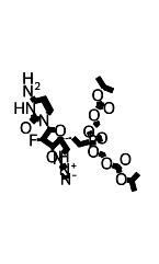 CC(C)OC(=O)OCOP(=O)(CC[C@@]1(CN=[N+]=[N-])O[C@@H](N2C=CC(N)NC2=O)[C@H](F)[C@@H]1O)OCOC(=O)OC(C)C